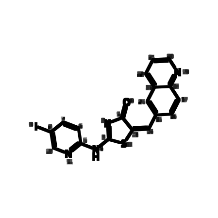 O=C1N=C(Nc2ccc(I)cn2)SC1=Cc1ccc2ncccc2c1